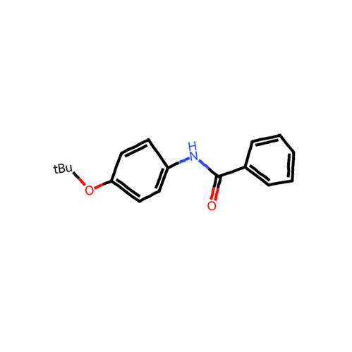 CC(C)(C)Oc1ccc(NC(=O)c2ccccc2)cc1